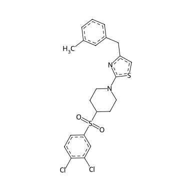 Cc1cccc(Cc2csc(N3CCC(S(=O)(=O)c4ccc(Cl)c(Cl)c4)CC3)n2)c1